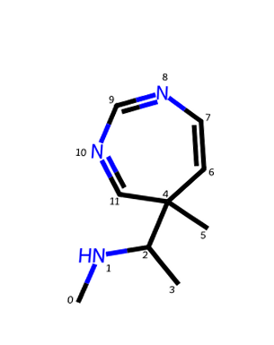 CNC(C)C1(C)C=CN=CN=C1